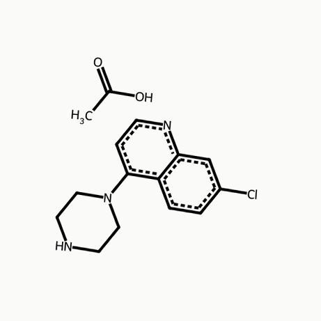 CC(=O)O.Clc1ccc2c(N3CCNCC3)ccnc2c1